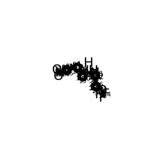 NC1([C@H]2CCCN(c3ccc([N+](=O)[O-])cc3)C2)CCCCC1Nc1cc(-c2cccc(OC(F)(F)F)c2)ccn1